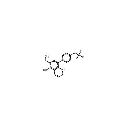 NCc1cc(-c2ccc(OC(F)(F)F)cc2)c2c(c1O)N=CCN2